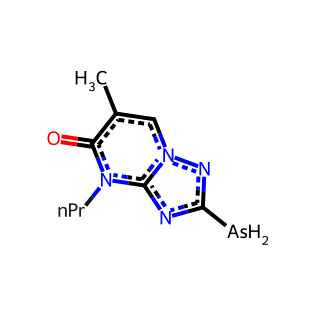 CCCn1c(=O)c(C)cn2nc([AsH2])nc12